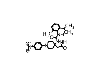 Cc1cccc(C(C)C)c1NC(=O)N1NC(=O)CC12CCN(c1ccc([N+](=O)[O-])cc1)CC2